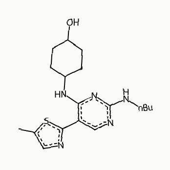 CCCCNc1ncc(-c2ncc(C)s2)c(NC2CCC(O)CC2)n1